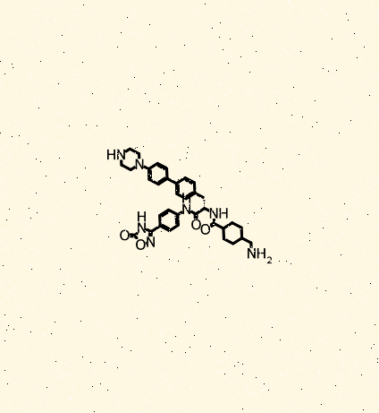 NCC1CCC(C(=O)N[C@@H](Cc2ccc(-c3ccc(N4CCNCC4)cc3)cc2)C(=O)Nc2ccc(-c3noc(=O)[nH]3)cc2)CC1